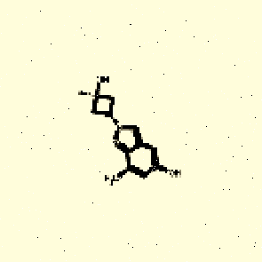 C[C@]1(O)C[C@@H](n2cc3cc(O)cc(C(F)(F)F)c3n2)C1